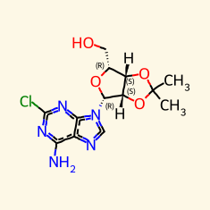 CC1(C)O[C@@H]2[C@H](O1)[C@H](n1cnc3c(N)nc(Cl)nc31)O[C@@H]2CO